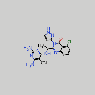 C[C@H](Nc1nc(N)nc(N)c1C#N)c1nc2cccc(Cl)c2c(=O)n1-c1cc[nH]n1